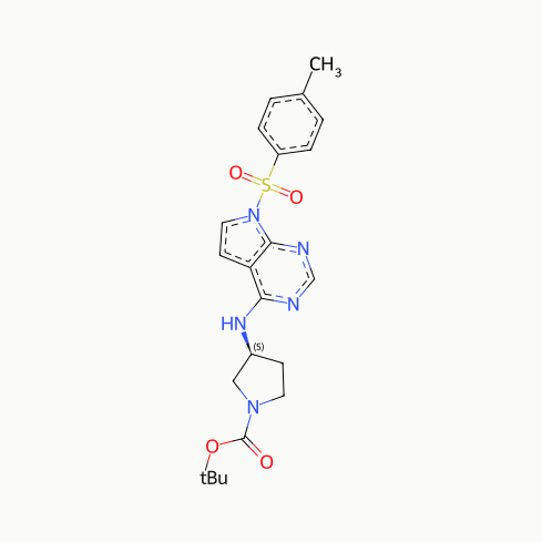 Cc1ccc(S(=O)(=O)n2ccc3c(N[C@H]4CCN(C(=O)OC(C)(C)C)C4)ncnc32)cc1